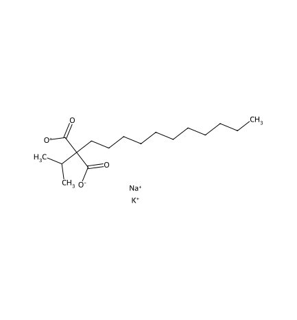 CCCCCCCCCCCC(C(=O)[O-])(C(=O)[O-])C(C)C.[K+].[Na+]